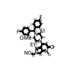 CC[C@H]1CN(C(c2ccc(F)cc2)c2ccc(F)cc2OC)[C@H](CC)CN1c1cc(=O)n(C)c2cn(CC#N)nc12